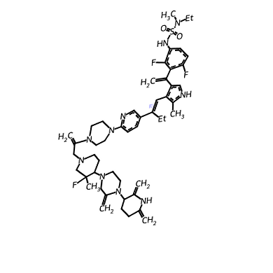 C=C1CCC(N2CCN(C3CCN(CC(=C)N4CCN(c5ccc(/C(=C/c6c(C(=C)c7c(F)ccc(NS(=O)(=O)N(C)CC)c7F)c[nH]c6C)CC)cn5)CC4)CC3(C)F)CC2=C)C(=C)N1